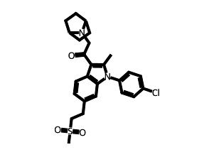 Cc1c(C(=O)CN2C3CCC2CC3)c2ccc(CCS(C)(=O)=O)cc2n1-c1ccc(Cl)cc1